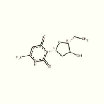 CC[C@H]1O[C@@H](n2c(=O)cc(C)[nH]c2=O)CC1O